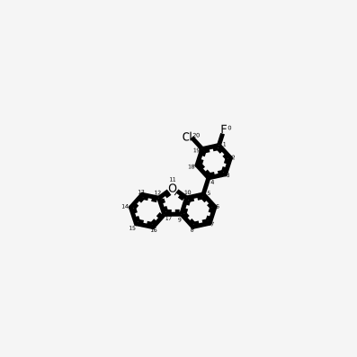 Fc1ccc(-c2cccc3c2oc2ccccc23)cc1Cl